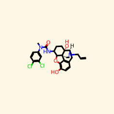 C=CCN1CC[C@]23c4c5ccc(O)c4OC2C(NC(=O)N(C)c2ccc(Cl)c(Cl)c2)CC[C@@]3(O)[C@H]1C5